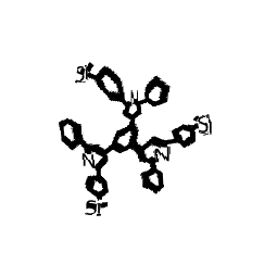 C[Si](C)(C)c1ccc(-c2cc(-c3cc(-c4cc(-c5ccccc5)nc(-c5ccc([Si](C)(C)C)cc5)c4)cc(-c4cc(-c5ccccc5)nc(-c5ccc([Si](C)(C)C)cc5)c4)c3)cc(-c3ccccc3)n2)cc1